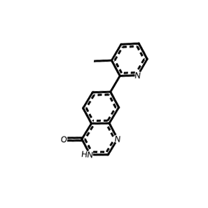 Cc1cccnc1-c1ccc2c(=O)[nH]cnc2c1